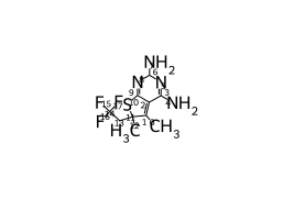 CC1=C2C(N)=NC(N)N=C2SC1(C)CC(F)(F)F